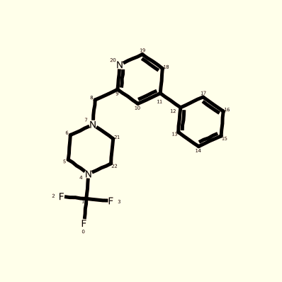 FC(F)(F)N1CCN(Cc2cc(-c3ccccc3)ccn2)CC1